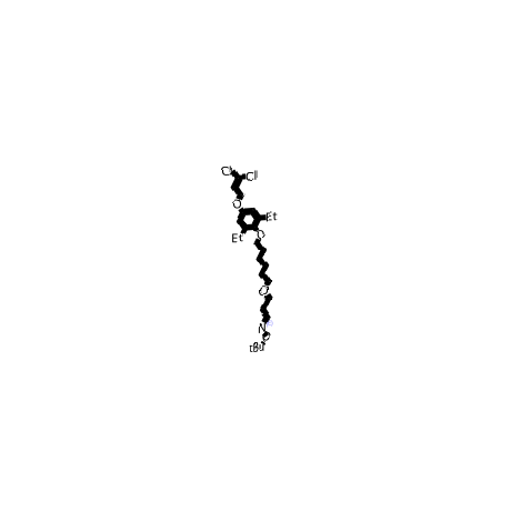 CCc1cc(OCC=C(Cl)Cl)cc(CC)c1OCCCCCCOCC/C=N/OC(C)(C)C